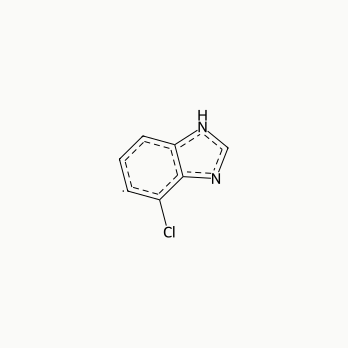 Clc1[c]ccc2[nH]cnc12